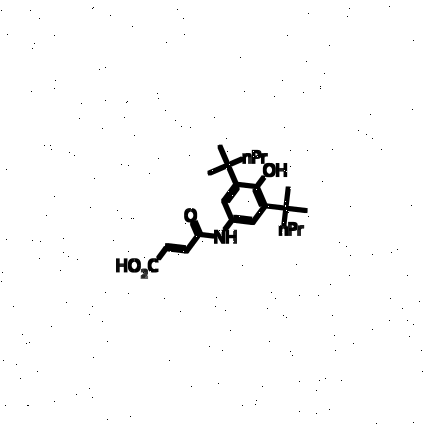 CCCC(C)(C)c1cc(NC(=O)C=CC(=O)O)cc(C(C)(C)CCC)c1O